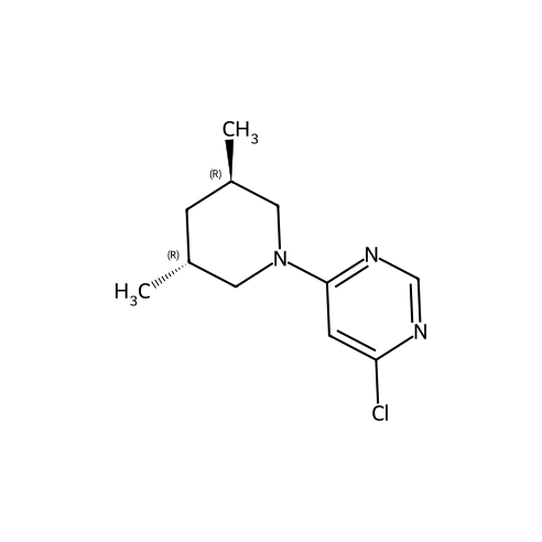 C[C@@H]1C[C@@H](C)CN(c2cc(Cl)ncn2)C1